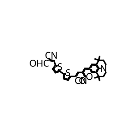 CC1(C)CCN2CCC(C)(C)c3c2c1cc1cc(/C=C(\C#N)c2ccc(-c4ccc(/C=C(/C#N)C=O)s4)s2)c(=O)oc31